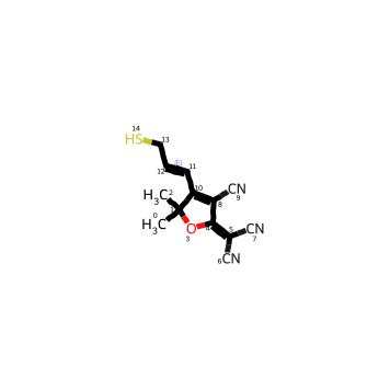 CC1(C)OC(=C(C#N)C#N)C(C#N)=C1/C=C/CS